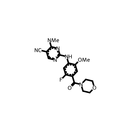 CNc1nc(Nc2cc(F)c(C(=O)N3CCOCC3)cc2OC)ncc1C#N